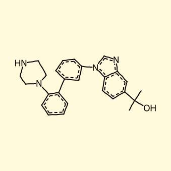 CC(C)(O)c1ccc2c(c1)ncn2-c1cccc(-c2ccccc2N2CCNCC2)c1